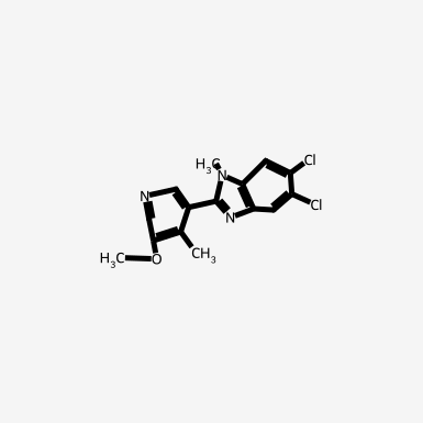 COc1cncc(-c2nc3cc(Cl)c(Cl)cc3n2C)c1C